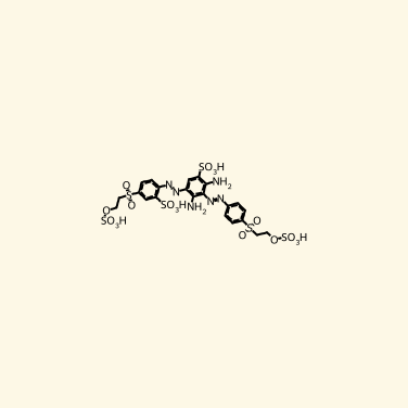 Nc1c(/N=N/c2ccc(S(=O)(=O)CCOS(=O)(=O)O)cc2S(=O)(=O)O)cc(S(=O)(=O)O)c(N)c1/N=N/c1ccc(S(=O)(=O)CCOS(=O)(=O)O)cc1